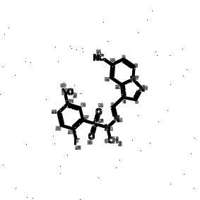 CN(N=Cc1cnn2ccc(C#N)cc12)S(=O)(=O)c1cc([N+](=O)[O-])ccc1F